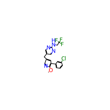 COc1ncc(Cc2cnc(NCC(F)(F)F)nc2)cc1-c1cccc(Cl)c1